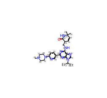 CCC(CC)n1cnc2c(NCC3C=CC(C)(C)NC3=O)nc(-c3ccc(N4CCN(C)CC4)nc3)nc21